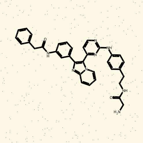 NCC(=O)NCCc1ccc(Nc2nccc(-c3c(-c4cccc(NC(=O)Cc5ccccc5)c4)nc4ccccn34)n2)cc1